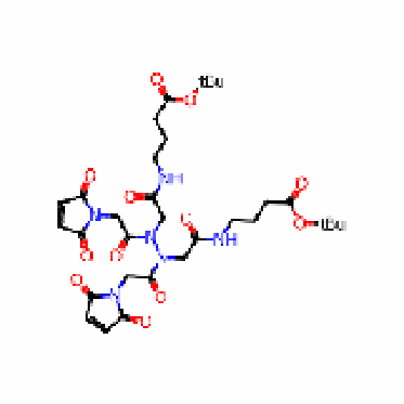 CC(C)(C)OC(=O)CCCNC(=O)CN(C(=O)CN1C(=O)C=CC1=O)N(CC(=O)NCCCC(=O)OC(C)(C)C)C(=O)CN1C(=O)C=CC1=O